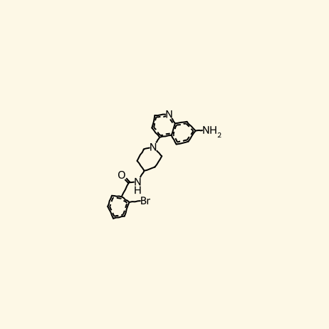 Nc1ccc2c(N3CCC(NC(=O)c4ccccc4Br)CC3)ccnc2c1